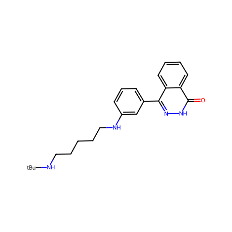 CC(C)(C)NCCCCCNc1cccc(-c2n[nH]c(=O)c3ccccc23)c1